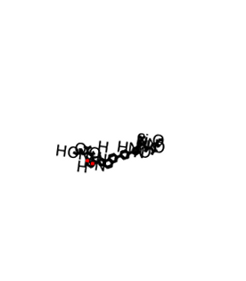 COC(=O)NC(C(=O)N1C[Si](C)(C)CC1c1ncc(-c2ccc(-c3ccc4c(ccc5nc([C@@H]6C7CCC(CC7)N6C(=O)C(NC(=O)CO)C(C)C)[nH]c54)c3)cc2)[nH]1)C(C)C